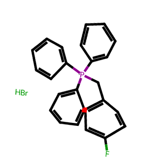 Br.Fc1ccc(C[P](c2ccccc2)(c2ccccc2)c2ccccc2)cc1